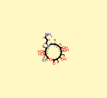 CC[C@@H]1OC(=O)[C@H](C)C(O)[C@H](C)[C@@H](O)[C@](C)(O)C[C@@H](C)CN(CCCN)[C@H](C)[C@@H](O)[C@]1(C)O